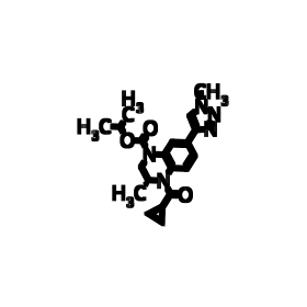 CC(C)OC(=O)N1C[C@H](C)N(C(=O)C2CC2)c2ccc(-c3cn(C)nn3)cc21